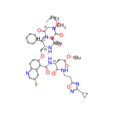 CCOCC[C@H](C(=O)N[C@@H](COc1ccc2ncc(F)cc2c1C(=O)N[C@@H](CC(=O)OC(C)(C)C)C(=O)NCCc1nc(C2CC2)no1)Cc1ccccc1)N(C)C(=O)[C@H](CC(C)C)N(C)C(=O)OC(C)(C)C